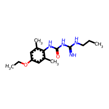 CCCNC(=N)NC(=O)Nc1c(C)cc(OCC)cc1C